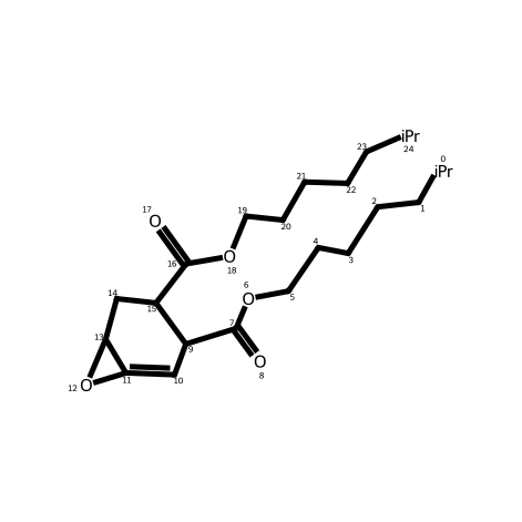 CC(C)CCCCCOC(=O)C1C=C2OC2CC1C(=O)OCCCCCC(C)C